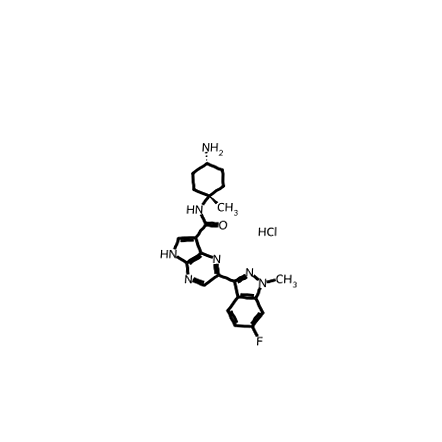 Cl.Cn1nc(-c2cnc3[nH]cc(C(=O)N[C@]4(C)CC[C@H](N)CC4)c3n2)c2ccc(F)cc21